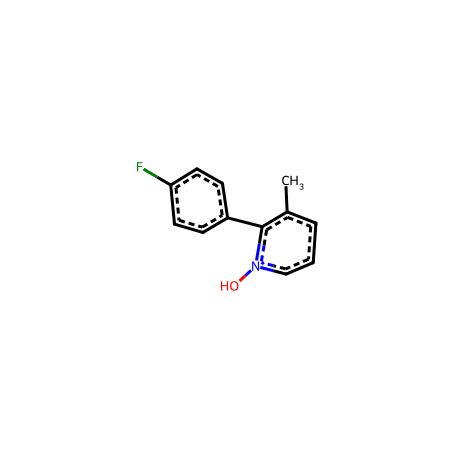 Cc1ccc[n+](O)c1-c1ccc(F)cc1